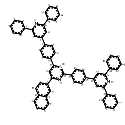 c1ccc(-c2cc(-c3ccc(-c4cc(-c5ccc6ccccc6c5)nc(-c5ccc(-c6cc(-c7ccccc7)nc(-c7ccccc7)c6)cc5)n4)cc3)cc(-c3ccccc3)n2)cc1